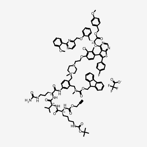 C#CCOC(=O)N[C@@H](CCCCNC(=O)OC(C)(C)C)C(=O)N[C@H](C(=O)N[C@@H](CCCNC(N)=O)C(=O)Nc1ccc(C[N+]2(C)CCN(CCOc3ccc(-c4c(-c5ccc(F)cc5)sc5ncnc(O[C@H](Cc6ccccc6OCc6ccnc(-c7ccccc7OC)n6)C(=O)OCc6ccc(OC)cc6)c45)c(C)c3Cl)CC2)c(CN(C)C(=O)OCC2c3ccccc3-c3ccccc32)c1)C(C)C.O=C([O-])C(F)(F)F